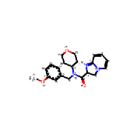 O=C(C1CN2C=CC=CC2=N1)N(Cc1cccc(OC(F)(F)F)c1)C1CCOCC1